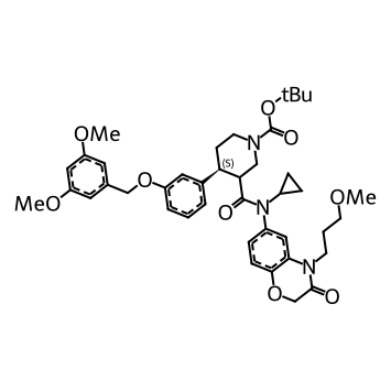 COCCCN1C(=O)COc2ccc(N(C(=O)C3CN(C(=O)OC(C)(C)C)CC[C@@H]3c3cccc(OCc4cc(OC)cc(OC)c4)c3)C3CC3)cc21